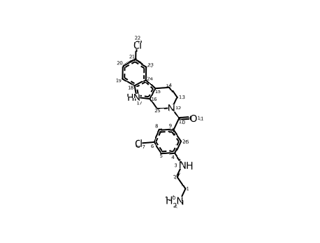 NCCNc1cc(Cl)cc(C(=O)N2CCc3c([nH]c4ccc(Cl)cc34)C2)c1